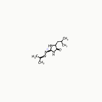 CC(C)=N/N=C1\NC(=O)C(CC(C)C)N1